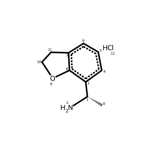 C[C@H](N)c1cccc2c1OCC2.Cl